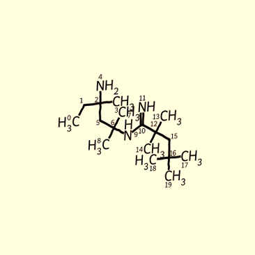 CCC(C)(N)CC(C)(C)NC(=N)C(C)(C)CC(C)(C)C